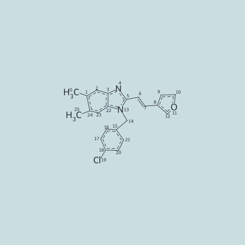 Cc1cc2nc(/C=C/c3ccoc3)n(Cc3ccc(Cl)cc3)c2cc1C